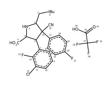 CC(C)(C)CC1NC(C(=O)O)C(c2cccc(Cl)c2F)C1(C#N)c1ccc(F)cc1.O=C(O)C(F)(F)F